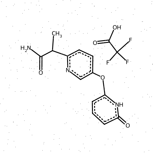 CC(C(N)=O)c1ccc(Oc2cccc(=O)[nH]2)cn1.O=C(O)C(F)(F)F